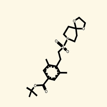 Cc1cc(C(=O)OC(C)(C)C)cc(C)c1CCS(=O)(=O)N1CCC2(CC1)OCCO2